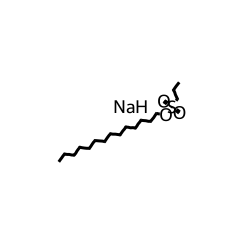 CCCCCCCCCCCCCCOS(=O)(=O)CCC.[NaH]